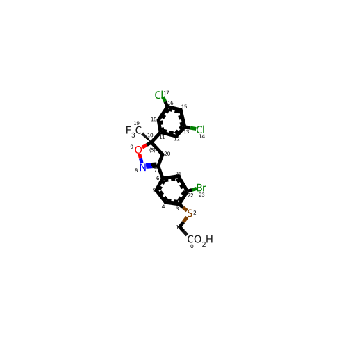 O=C(O)CSc1ccc(C2=NO[C@@](c3cc(Cl)cc(Cl)c3)(C(F)(F)F)C2)cc1Br